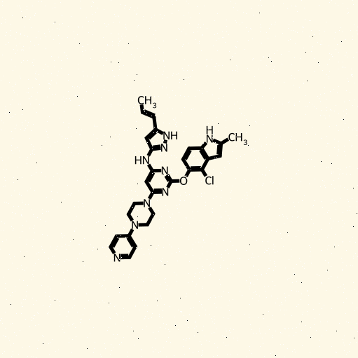 C/C=C/c1cc(Nc2cc(N3CCN(c4ccncc4)CC3)nc(Oc3ccc4[nH]c(C)cc4c3Cl)n2)n[nH]1